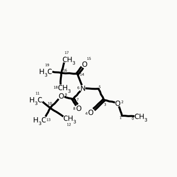 CCOC(=O)CN(C(=O)OC(C)(C)C)C(=O)C(C)(C)C